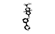 O=C(O)N1C[C@H]2CC(Oc3cccc(-c4ccncn4)c3)C[C@H]2C1